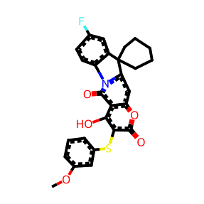 COc1cccc(Sc2c(O)c3c(=O)n4c(cc3oc2=O)C2(CCCCC2)c2cc(F)ccc2-4)c1